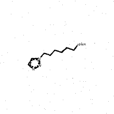 CCCCCCCCCCCCn1ccnn1